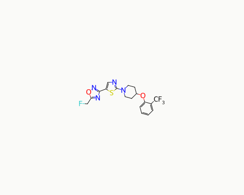 FCc1nc(-c2cnc(N3CCC(Oc4ccccc4C(F)(F)F)CC3)s2)no1